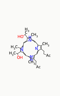 CC(=O)CCC1=C(C)c2cc3[nH]c(cc4nc(cc5[nH]c(cc1n2)c(CCC(C)=O)c5C)C(C(C)O)=C4C)c(C(C)O)c3C